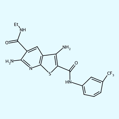 CCNC(=O)c1cc2c(N)c(C(=O)Nc3cccc(C(F)(F)F)c3)sc2nc1N